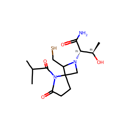 CC(C)C(=O)N1C(=O)CCC12CN([C@H](C(N)=O)[C@@H](C)O)C2CS